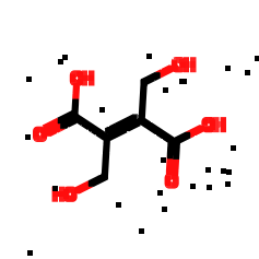 O=C(O)C(CO)=C(CO)C(=O)O